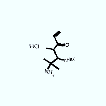 C=CC(=O)C(C)C(CCCCCC)C(C)(C)N.Cl